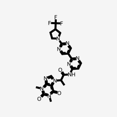 CC(C(=O)Nc1ccnc(-c2cnc(N3CCC(C(F)(F)F)C3)nc2)n1)n1cnc2c1c(=O)n(C)c(=O)n2C